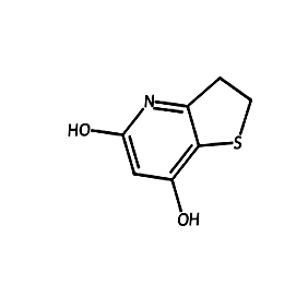 Oc1cc(O)c2c(n1)CCS2